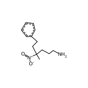 CC(CCCN)(CCc1ccccc1)[N+](=O)[O-]